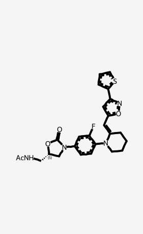 CC(=O)NC[C@H]1CN(c2ccc(N3CCCCC3=Cc3cc(-c4cccs4)no3)c(F)c2)C(=O)O1